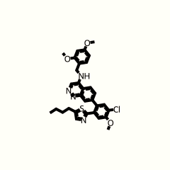 CCCCc1cnc(-c2cc(OC)c(Cl)cc2-c2ccc3c(NCc4ccc(OC)cc4OC)cnnc3c2)s1